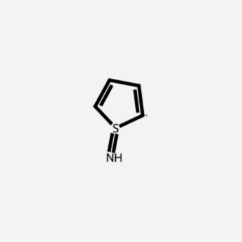 N=S1[C]=CC=C1